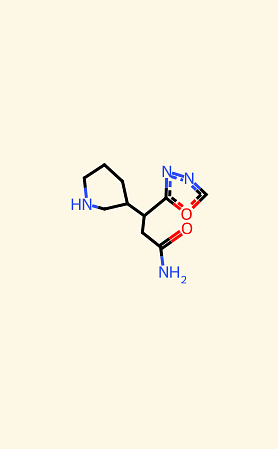 NC(=O)CC(c1nnco1)C1CCCNC1